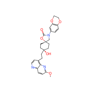 COc1ccc2nccc(CC[C@]3(O)CC[C@]4(CC3)CN(c3ccc5c(c3)OCCO5)C(=O)O4)c2n1